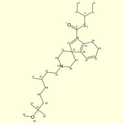 CCC(CC)SC(=O)C1=CC2(CCN(CCC(C)CCCC(C)(C)OC)CC2)C2=C1CCC=C2